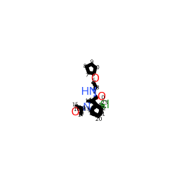 O=C(NCCOC1CCCC1)c1cn(C2COC2)c2cccc(Cl)c12